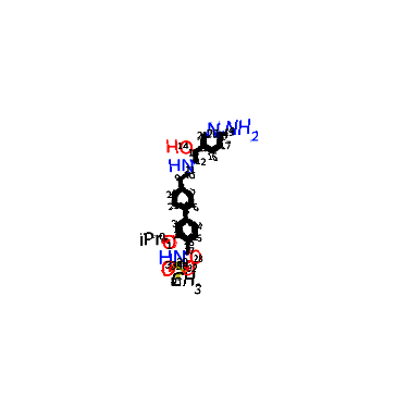 CC(C)Oc1cc(-c2ccc(CCNC[C@H](O)c3ccc(N)nc3)cc2)ccc1C(=O)NS(C)(=O)=O